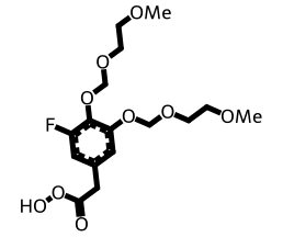 COCCOCOc1cc(CC(=O)OO)cc(F)c1OCOCCOC